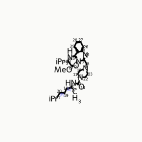 COC(=O)[C@@H](Nc1nc(CN2CCN(C(=O)N/C(C)=C/C=C/C(C)C)CC2)nc2ccccc12)C(C)C